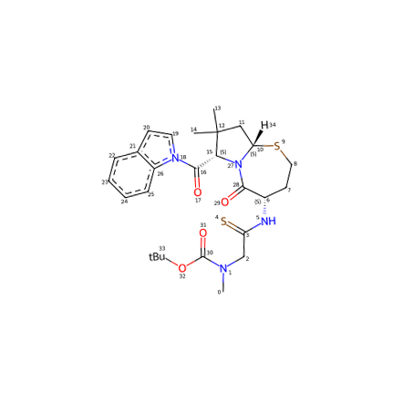 CN(CC(=S)N[C@H]1CCS[C@H]2CC(C)(C)[C@@H](C(=O)n3ccc4ccccc43)N2C1=O)C(=O)OC(C)(C)C